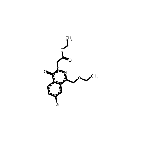 CCOCc1nn(CC(=O)OCC)c(=O)c2ccc(Br)cc12